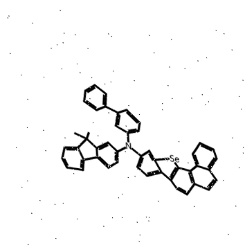 CC1(C)c2ccccc2-c2ccc(N(c3cccc(-c4ccccc4)c3)c3ccc4c(c3)[se]c3c4ccc4ccc5ccccc5c43)cc21